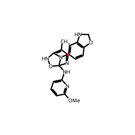 COc1cccc(NC23N=CC(C)=C(NO2)N3c2ccc3c(c2)NCO3)n1